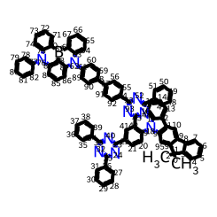 CC1(C)c2ccccc2-c2cc3c4ccccc4n(-c4ccc(-c5nc(-c6ccccc6)nc(-c6ccccc6)n5)cc4-c4nc(-c5ccccc5)nc(-c5ccc(-c6ccc(N7c8ccccc8B8c9ccccc9N(c9ccccc9)c9cccc7c98)cc6)cc5)n4)c3cc21